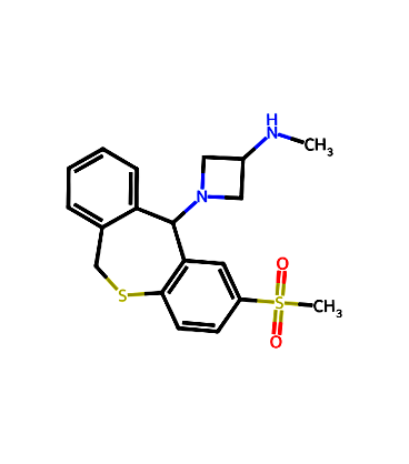 CNC1CN(C2c3ccccc3CSc3ccc(S(C)(=O)=O)cc32)C1